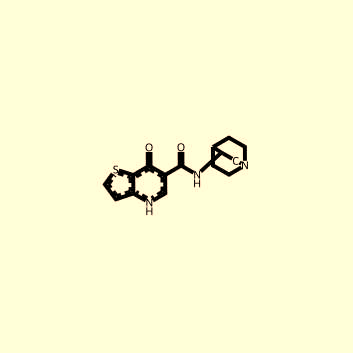 O=C(NC1CN2CCC1CC2)c1c[nH]c2ccsc2c1=O